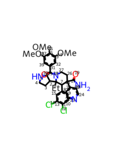 CCC1(C2CCNC2)C(c2ccc(Cl)c(Cl)c2)C(C(N)=O)(c2ccncc2)CCN1C(=O)c1cc(OC)c(OC)c(OC)c1